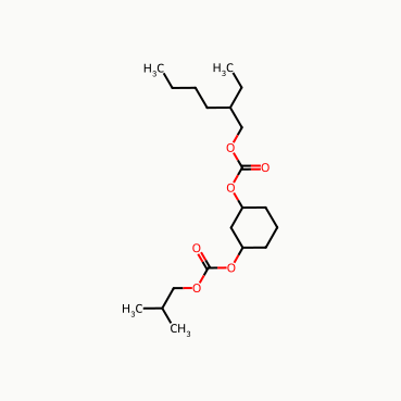 CCCCC(CC)COC(=O)OC1CCCC(OC(=O)OCC(C)C)C1